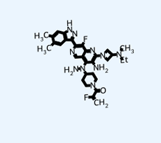 C=C(F)C(=O)N1CCC(N(N)c2c(N)c(N3CC(N(C)CC)C3)nc3c(F)c(-c4n[nH]c5cc(C)c(C)cc45)ncc23)CC1